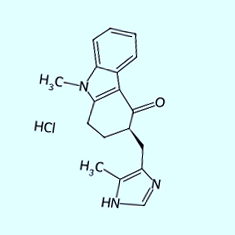 Cc1[nH]cnc1C[C@H]1CCc2c(c3ccccc3n2C)C1=O.Cl